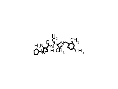 C=C(NC(=O)c1cnn(C2CCCC2)c1N)[C@@H]1CN(Cc2ccc(C)cc2C)C[C@H]1C